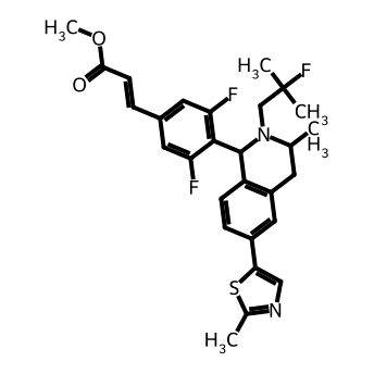 COC(=O)/C=C/c1cc(F)c(C2c3ccc(-c4cnc(C)s4)cc3CC(C)N2CC(C)(C)F)c(F)c1